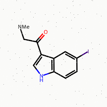 CNCC(=O)c1c[nH]c2ccc(I)cc12